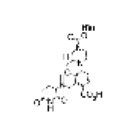 CC(C)(C)OC(=O)N1CCN2c3ccc(C(=O)O)c(CN[C@H]4CCC(=O)NC4=O)c3OC[C@H]2C1